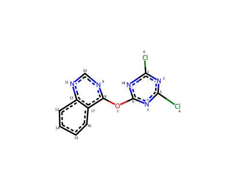 Clc1nc(Cl)nc(Oc2ncnc3ccccc23)n1